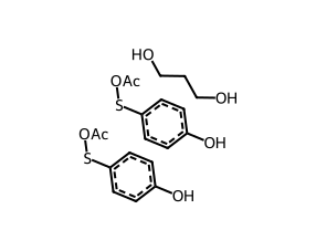 CC(=O)OSc1ccc(O)cc1.CC(=O)OSc1ccc(O)cc1.OCCCO